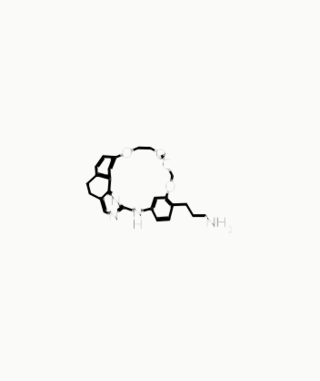 NCCCc1ccc2cc1OCCOCCOc1ccc3c(c1)-c1nc(ncc1CC3)N2